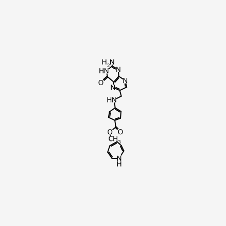 C1=CC=CNC=C1.COC(=O)c1ccc(NCc2cnc3nc(N)[nH]c(=O)c3n2)cc1